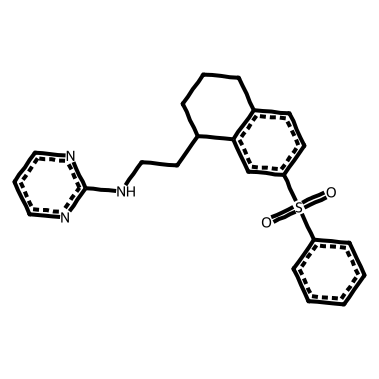 O=S(=O)(c1ccccc1)c1ccc2c(c1)C(CCNc1ncccn1)CCC2